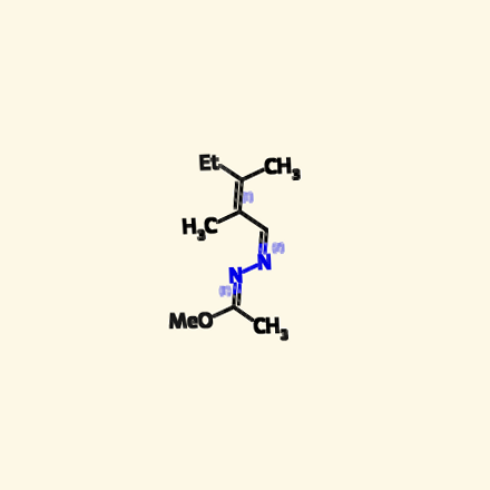 CC/C(C)=C(C)/C=N\N=C(/C)OC